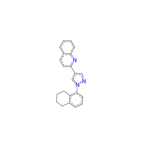 c1cc2c(c(-n3cc(-c4ccc5ccccc5n4)cn3)c1)CCCC2